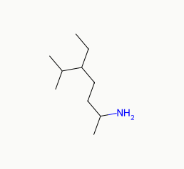 CCC(CCC(C)N)C(C)C